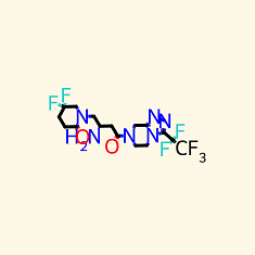 N[C@@H](CC(=O)N1CCn2c(nnc2C(F)(F)C(F)(F)F)C1)CN1CC(F)(F)CCC1=O